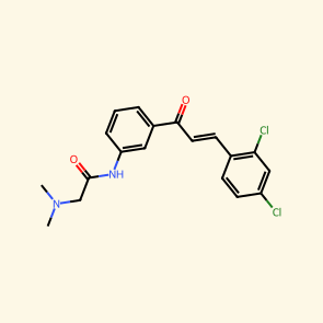 CN(C)CC(=O)Nc1cccc(C(=O)C=Cc2ccc(Cl)cc2Cl)c1